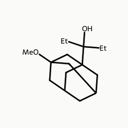 CCC(O)(CC)C12CC3CC(CC(OC)(C3)C1)C2